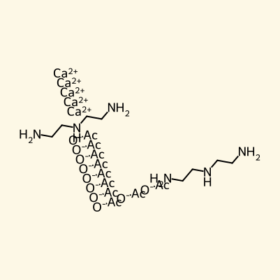 CC(=O)[O-].CC(=O)[O-].CC(=O)[O-].CC(=O)[O-].CC(=O)[O-].CC(=O)[O-].CC(=O)[O-].CC(=O)[O-].CC(=O)[O-].CC(=O)[O-].NCCNCCN.NCCNCCN.[Ca+2].[Ca+2].[Ca+2].[Ca+2].[Ca+2]